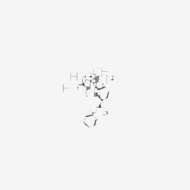 C[Si](C)(C)N(c1cccc(C(=S)Oc2ccccc2)c1)[Si](C)(C)C